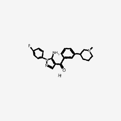 CN1CCCC(c2cccc(C(=O)c3cnn(-c4ccc(F)cc4)c3N)c2)C1.I